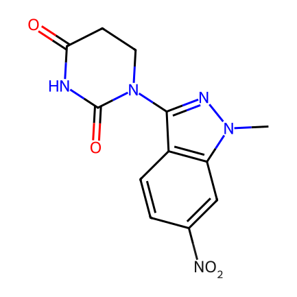 Cn1nc(N2CCC(=O)NC2=O)c2ccc([N+](=O)[O-])cc21